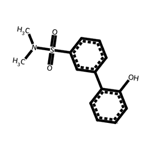 CN(C)S(=O)(=O)c1cccc(-c2cc[c]cc2O)c1